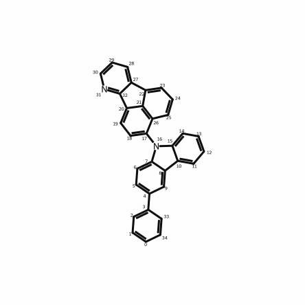 c1ccc(-c2ccc3c(c2)c2ccccc2n3-c2ccc3c4c(cccc24)-c2cccnc2-3)cc1